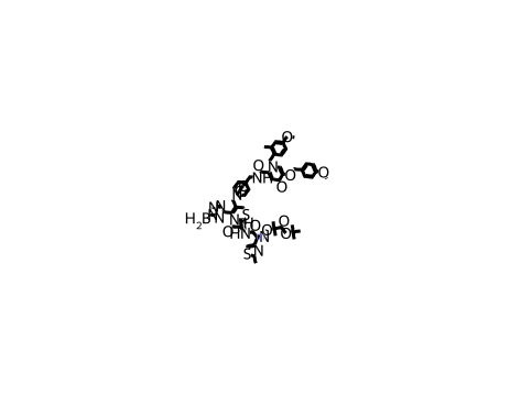 Bn1nnc(C2=C(C[N+]34CCC(CNC(=O)c5cc(=O)c(OCc6ccc(OC)cc6)cn5Cc5ccc(OC)cc5C)(CC3)CC4)CS[C@@H]3[C@H](NC(=O)/C(=N\OC(C)(C)C(=O)OC(C)(C)C)c4csc(C)n4)C(=O)N23)n1